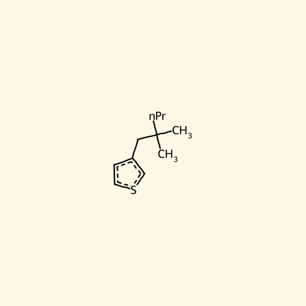 CCCC(C)(C)Cc1ccsc1